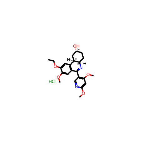 CCOc1cc2c(cc1OC)C(c1cnc(OC)cc1OC)=N[C@@H]1CC[C@@H](O)C[C@H]21.Cl